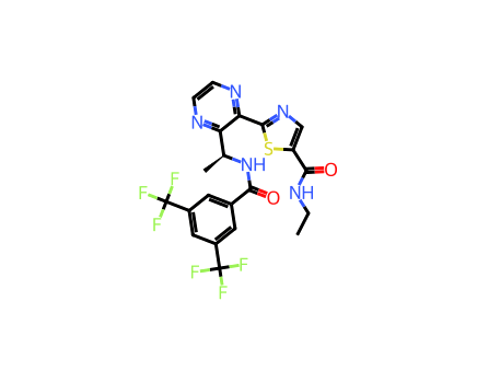 CCNC(=O)c1cnc(-c2nccnc2[C@H](C)NC(=O)c2cc(C(F)(F)F)cc(C(F)(F)F)c2)s1